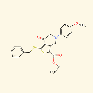 CCOC(=O)c1sc(SCc2ccccc2)c2c1CN(c1ccc(OC)cc1)CC2=O